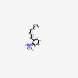 C=C/C=C\C=C\c1ccccc1NC